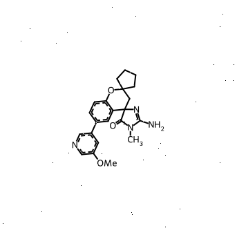 COc1cncc(-c2ccc3c(c2)C2(CC4(CCCC4)O3)N=C(N)N(C)C2=O)c1